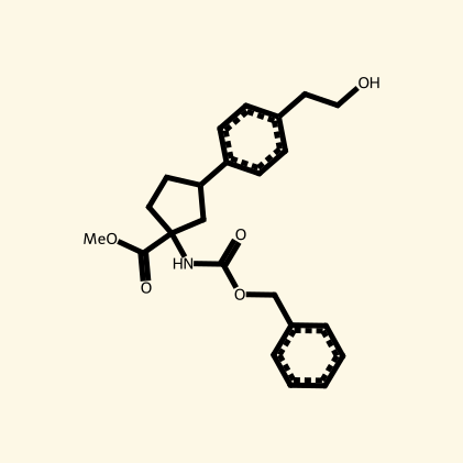 COC(=O)C1(NC(=O)OCc2ccccc2)CCC(c2ccc(CCO)cc2)C1